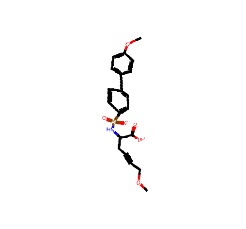 COCC#CCC(NS(=O)(=O)c1ccc(-c2ccc(OC)cc2)cc1)C(=O)O